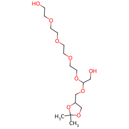 CC1(C)OCC(COC(CO)OCCOCCOCCOCCO)O1